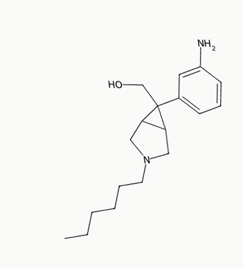 CCCCCCN1CC2C(C1)C2(CO)c1cccc(N)c1